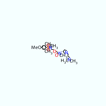 COc1cc(C)c(S(=O)(=O)N(C)CCOCC(=O)N(C)C[C@@H]2CCN(CCCN(C)C)C2)c(C)c1